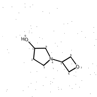 OC1CCN(C2COC2)C1